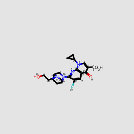 O=C(O)c1cn(C2CC2)c2nc(N3CC4CCC3CN4CCO)c(F)cc2c1=O